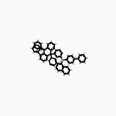 C1=CCC(C2(c3cccc(N(c4ccc(-c5ccccc5)cc4)c4cccc5ccccc45)c3)c3ccccc3C3(c4ccccc4)c4c(cccc42)C2=CC=CCC23)C=C1